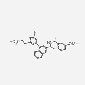 COc1cccc([C@@H](C)NC(C)c2cc(-c3cc(F)cc(CCC(=O)O)c3)c3ccccc3c2)c1